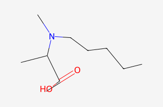 CCCCCN(C)C(C)C(=O)O